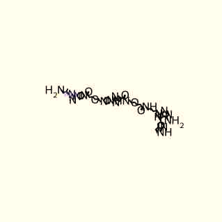 C=N/C(=N\C=C(/C)CN)N1CCN(C(=O)CCOCCN2CCN(c3ncc(C(=O)NCCOCCC(=O)NCCCCn4nc(-c5cnc6[nH]ccc6c5)c5c(N)ncnc54)cn3)CC2)CC1